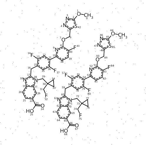 COc1nnc(COc2nc(-c3cc(F)c(Cc4nc5ccc(C(=O)O)cc5n4CC4(CF)CC4)cc3F)ccc2F)s1.COc1nnc(COc2nc(-c3cc(F)c(Cc4nc5ccc(C(=O)O)cc5n4CC4(CF)CC4)cc3F)ccc2F)s1